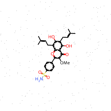 COc1c(-c2ccc(S(N)(=O)=O)cc2)oc2c(CC=C(C)C)c(O)c(CC=C(C)C)c(O)c2c1=O